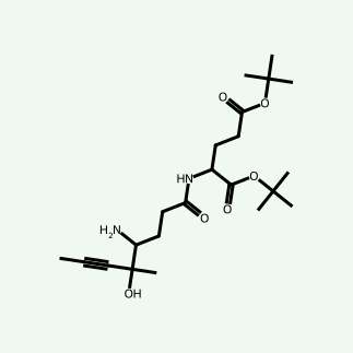 CC#CC(C)(O)C(N)CCC(=O)NC(CCC(=O)OC(C)(C)C)C(=O)OC(C)(C)C